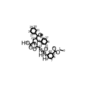 CCOC(=O)c1cccc(NC(=O)NCC(=O)N2C(C(=O)O)CC(C(=O)c3ccccc3)C2c2ccccc2F)c1